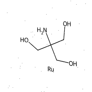 NC(CO)(CO)CO.[Ru]